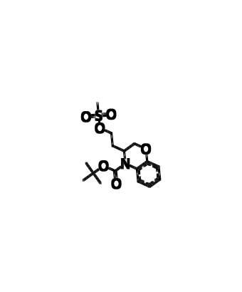 CC(C)(C)OC(=O)N1c2ccccc2OCC1CCOS(C)(=O)=O